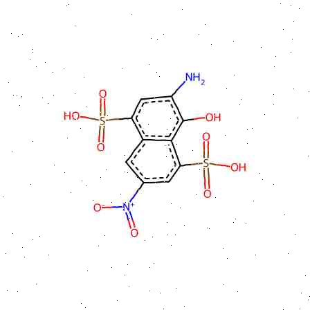 Nc1cc(S(=O)(=O)O)c2cc([N+](=O)[O-])cc(S(=O)(=O)O)c2c1O